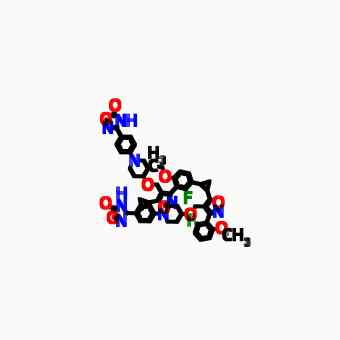 CCOc1ccc(C2CC2c2onc(-c3c(F)cccc3OC)c2COC2CCN(c3ccc(-c4noc(=O)[nH]4)cc3)CC2)c(F)c1-c1noc(C2CC2)c1COC1CCN(c2ccc(-c3noc(=O)[nH]3)cc2)CC1